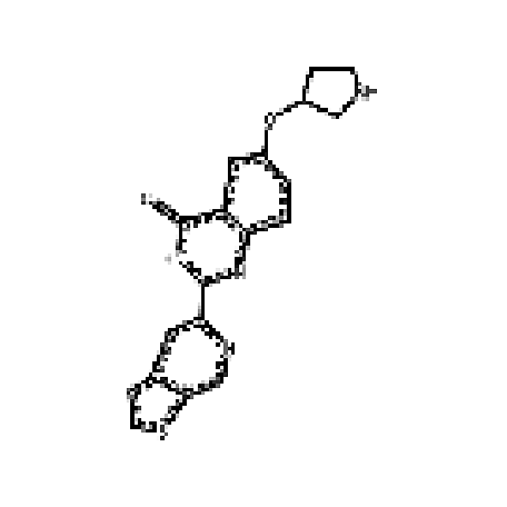 O=c1[nH]c(-c2cc3ccsc3cn2)nc2ccc(OC3CCNC3)cc12